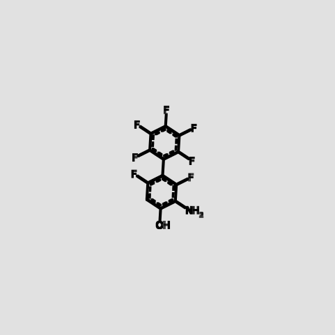 Nc1c(O)cc(F)c(-c2c(F)c(F)c(F)c(F)c2F)c1F